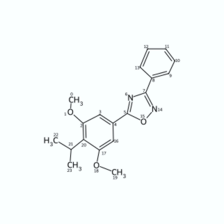 COc1cc(-c2nc(-c3ccccc3)no2)cc(OC)c1C(C)C